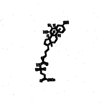 CC[C@H]1[C@@H](O)[C@@H]2[C@H](CC[C@]3(C)[C@@H](CCCOC(=O)NS(=O)(=O)CCC(=O)OC)CC[C@@H]23)[C@@]2(C)CC[C@@H](O)C[C@@H]12